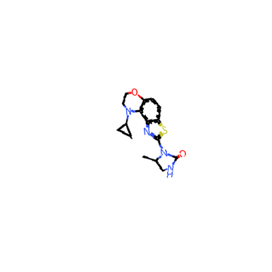 CC1CNC(=O)N1c1nc2c3c(ccc2s1)OCCN3C1CC1